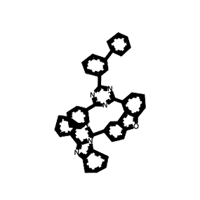 c1ccc(-c2cccc(-c3nc(-c4ccccc4)nc(-c4cccc5oc6ccc(-c7nc8ccccc8c8nc9ccccc9n78)cc6c45)n3)c2)cc1